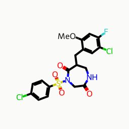 COc1cc(F)c(Cl)cc1CC1CNC(=O)CN(S(=O)(=O)c2ccc(Cl)cc2)C1=O